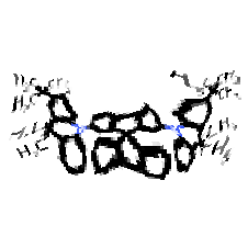 CC(C)(C)c1ccc2c(c1)C(C)(C)c1ccccc1N2c1ccc2c(c1)C1(c3ccccc3-c3ccccc31)c1cc(N3c4ccccc4C(C)(C)c4cc(C(C)(C)C)ccc43)ccc1-2